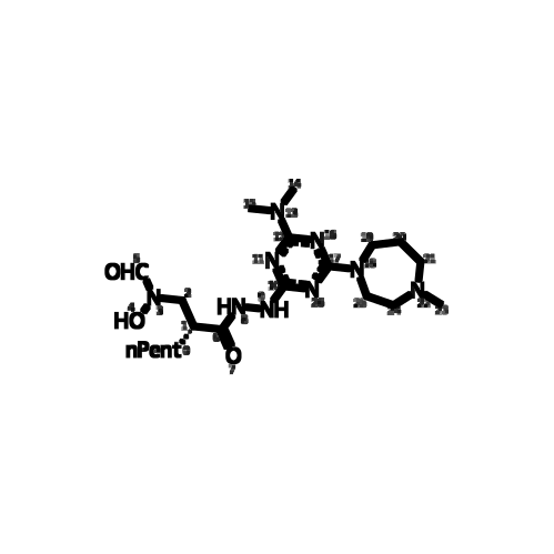 CCCCC[C@H](CN(O)C=O)C(=O)NNc1nc(N(C)C)nc(N2CCCN(C)CC2)n1